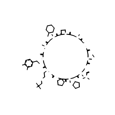 CC[C@H](C)[C@@H]1NC(=O)[C@H](CC(C)C)N(C)C(=O)C[C@@H](C(=O)N(C)C)N(C)C(=O)[C@H](C2CCCC2)N(C)C(=O)C2(CCCC2)NC(=O)CN(CCOCC(C)(C)O)C(=O)[C@H](CCc2ccc(C(F)(F)F)c(Cl)c2)NC(=O)CN(C)C(=O)[C@H](CC2CCCCC2)N(C)C(=O)[C@@H]2CCN2C(=O)[C@H](C)N(C)C1=O